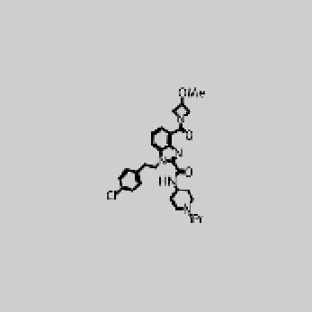 COC1CN(C(=O)c2cccc3c2nc(C(=O)NC2CCN(C(C)C)CC2)n3CCc2ccc(Cl)cc2)C1